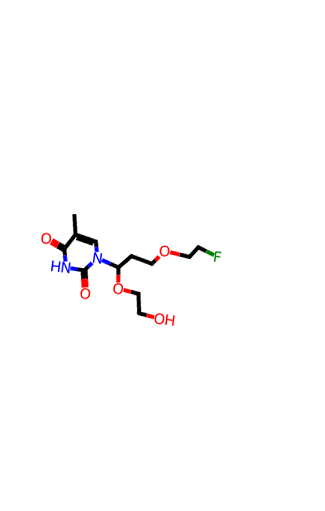 Cc1cn(C(CCOCCF)OCCO)c(=O)[nH]c1=O